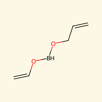 C=CCOBOC=C